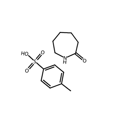 Cc1ccc(S(=O)(=O)O)cc1.O=C1CCCCCN1